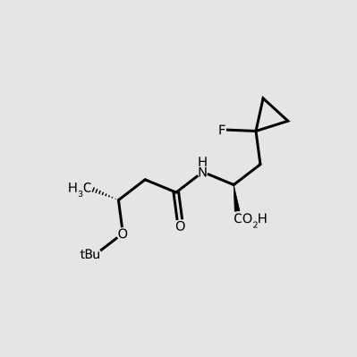 C[C@H](CC(=O)N[C@@H](CC1(F)CC1)C(=O)O)OC(C)(C)C